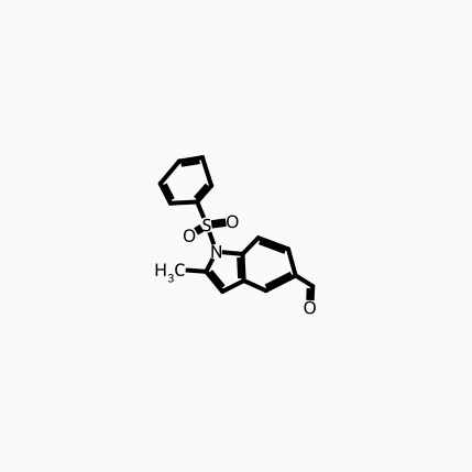 Cc1cc2cc(C=O)ccc2n1S(=O)(=O)c1ccccc1